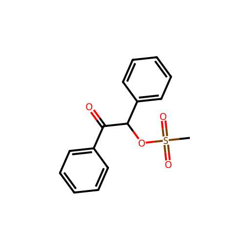 CS(=O)(=O)OC(C(=O)c1ccccc1)c1ccccc1